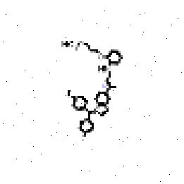 C/C(=C\CNc1ccccc1OCCCC(=O)O)c1ccc2c(ccn2C(c2ccc(F)cc2)c2ccc(F)cc2)c1